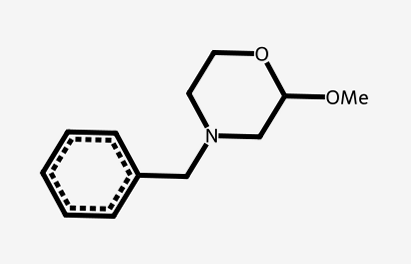 COC1CN(Cc2ccccc2)CCO1